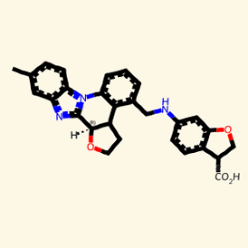 Cc1ccc2c(c1)nc1n2-c2cccc(CNc3ccc4c(c3)OCC4C(=O)O)c2C2CCO[C@@H]12